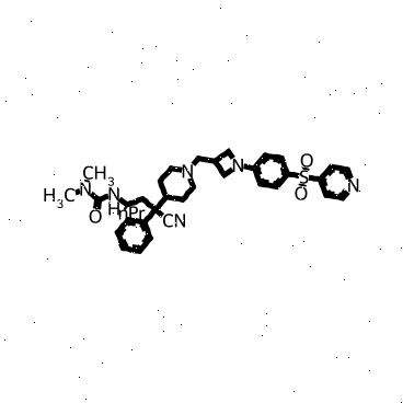 CCC[C@@H](CC(C#N)(c1ccccc1)C1CCN(CC2CN(c3ccc(S(=O)(=O)c4ccncc4)cc3)C2)CC1)NC(=O)N(C)C